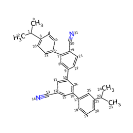 CC(C)c1ccc(-c2cc(-c3cc(C#N)cc(-c4cccc(C(C)C)c4)c3)ccc2C#N)cc1